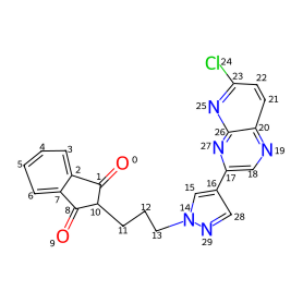 O=C1c2ccccc2C(=O)C1CCCn1cc(-c2cnc3ccc(Cl)nc3n2)cn1